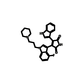 O=C1NC(=O)C(c2cn(CCCN3CCCCC3)c3cccc(F)c23)=C1c1c[nH]c2ccccc12